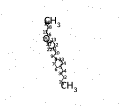 CCCC=CC1CCC(CCC2CCC(OCCCCC)CC2)CC1